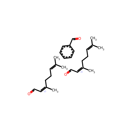 CC(C)=CCC/C(C)=C\C=O.CC(C)=CCC/C(C)=C\C=O.O=Cc1ccccc1